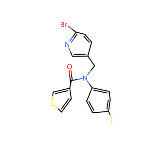 O=C(c1ccsc1)N(Cc1ccc(Br)nc1)c1ccc(F)cc1